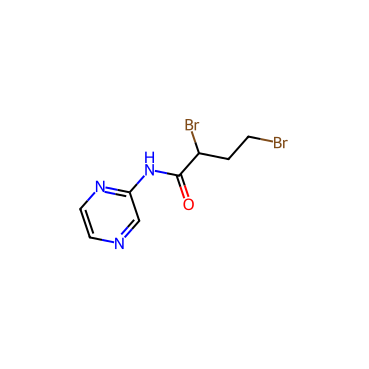 O=C(Nc1cnccn1)C(Br)CCBr